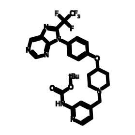 CC(C)(C)OC(=O)Nc1cc(CN2CCC(Oc3ccc(-n4c(C(F)(F)C(F)(F)F)nc5cncnc54)cc3)CC2)ccn1